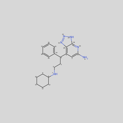 Nc1cc(C(CCNC2CCCCC2)c2ccccc2)c2nn[nH]c2n1